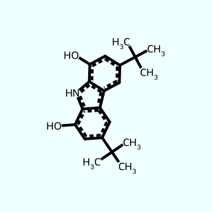 CC(C)(C)c1cc(O)c2[nH]c3c(O)cc(C(C)(C)C)cc3c2c1